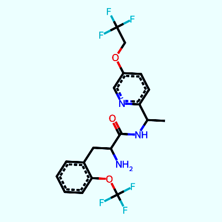 CC(NC(=O)C(N)Cc1ccccc1OC(F)(F)F)c1ccc(OCC(F)(F)F)cn1